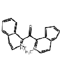 C[n+]1ccc2ccccc2c1C(=O)c1c2ccccc2cc[n+]1C